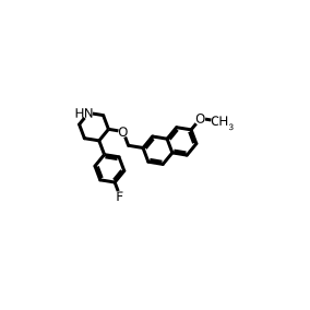 COc1ccc2ccc(COC3CNCCC3c3ccc(F)cc3)cc2c1